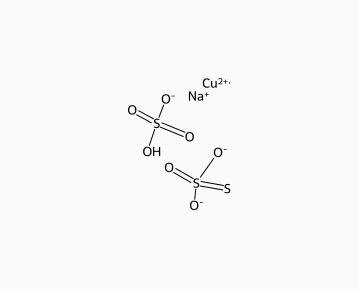 O=S(=O)([O-])O.O=S([O-])([O-])=S.[Cu+2].[Na+]